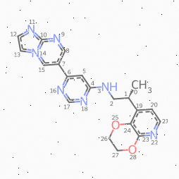 C[C@H](CNc1cc(-c2cnc3nccn3c2)ncn1)c1ccnc2c1OCCO2